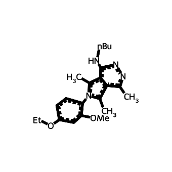 CCCCNc1nnc(C)c2c(C)n(-c3ccc(OCC)cc3OC)c(C)c12